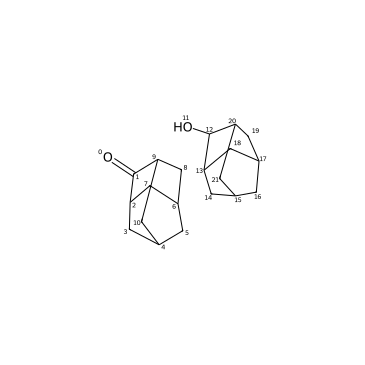 O=C1C2CC3CC(C2)CC1C3.OC1C2CC3CC(C2)CC1C3